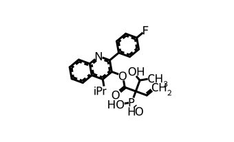 C=CC(C(=O)Oc1c(-c2ccc(F)cc2)nc2ccccc2c1C(C)C)(C(C)O)[PH](=O)O